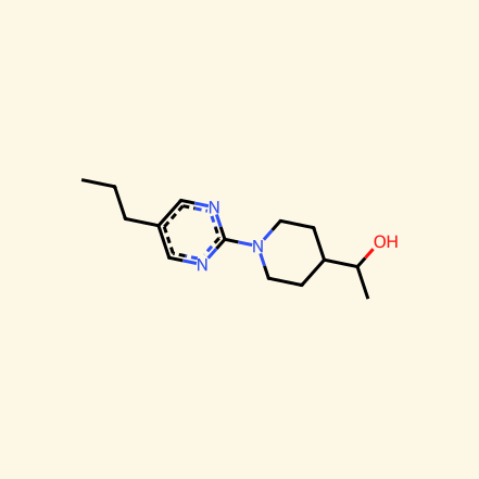 CCCc1cnc(N2CCC(C(C)O)CC2)nc1